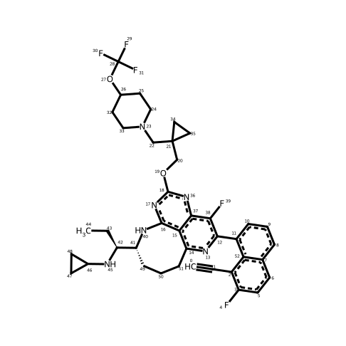 C#Cc1c(F)ccc2cccc(-c3nc4c5c(nc(OCC6(CN7CCC(OC(F)(F)F)CC7)CC6)nc5c3F)N[C@@H]([C@H](CC)NC3CC3)CCC4)c12